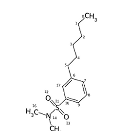 CCCCCCc1cccc(S(=O)(=O)N(C)C)c1